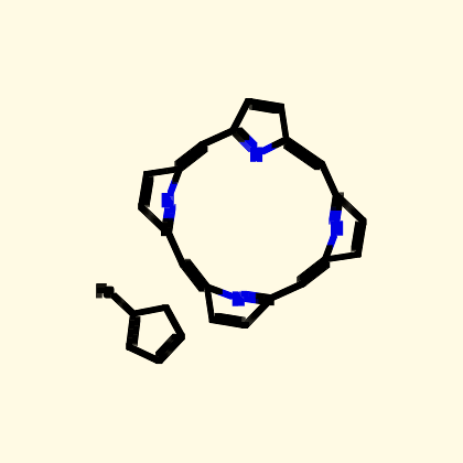 C1=CC2=NC1=CC1=NC(=CC3=NC(=CC4=NC(=C2)C=C4)C=C3)C=C1.[Fe][C]1=CC=CC1